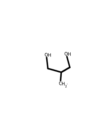 [CH2]C(CO)CO